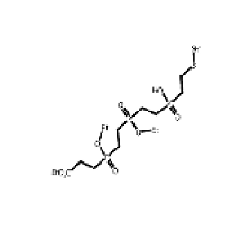 CCOC(=O)CCP(=O)(CCP(=O)(CCP(=O)(O)CCSS)OCC)OCC